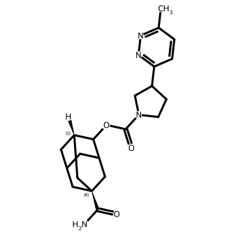 Cc1ccc(C2CCN(C(=O)OC3C4CC5C[C@H]3C[C@@](C(N)=O)(C5)C4)C2)nn1